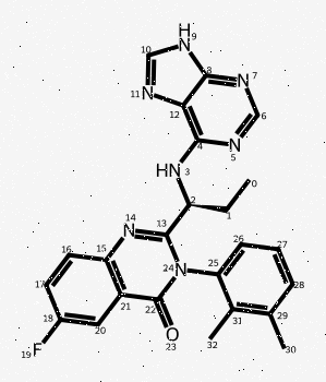 CC[C@H](Nc1ncnc2[nH]cnc12)c1nc2ccc(F)cc2c(=O)n1-c1cccc(C)c1C